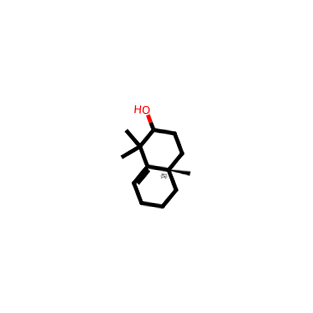 CC1(C)C2=CCCC[C@@]2(C)CCC1O